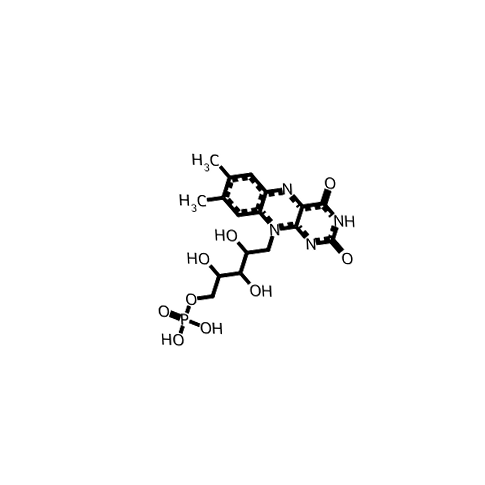 Cc1cc2nc3c(=O)[nH]c(=O)nc-3n(CC(O)C(O)C(O)COP(=O)(O)O)c2cc1C